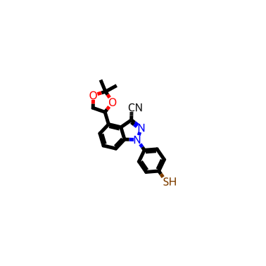 CC1(C)OCC(c2cccc3c2c(C#N)nn3-c2ccc(S)cc2)O1